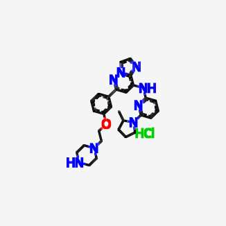 CC1CCCN1c1cccc(Nc2cc(-c3cccc(OCCN4CCNCC4)c3)nn3ccnc23)n1.Cl